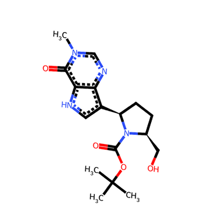 Cn1cnc2c([C@H]3CC[C@@H](CO)N3C(=O)OC(C)(C)C)c[nH]c2c1=O